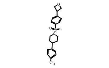 O=S(=O)(c1ccc(C2COC2)cc1)N1CCC(c2ccc(C(F)(F)F)cc2)CC1